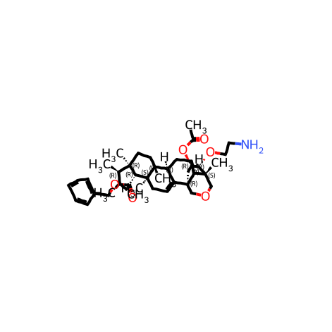 CC(=O)O[C@@H]1C[C@@]23COC[C@](C)([C@@H]2CC[C@H]2C3=CC[C@@]3(C)[C@H](C(=O)OCc4ccccc4)[C@@](C)([C@H](C)C(C)C)CC[C@]23C)[C@H]1OCCN